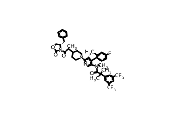 Cc1cc(F)ccc1-c1cc(N2CCC([C@H](C)C(=O)N3C(=O)OC[C@@H]3Cc3ccccc3)CC2)ncc1N(C)C(=O)C(C)(C)c1cc(C(F)(F)F)cc(C(F)(F)F)c1